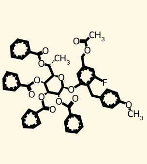 COc1ccc(Cc2c(F)cc(COC(C)=O)cc2O[C@@H]2O[C@H]([C@@H](C)OC(=O)c3ccccc3)[C@@H](OC(=O)c3ccccc3)[C@H](OC(=O)c3ccccc3)[C@H]2OC(=O)c2ccccc2)cc1